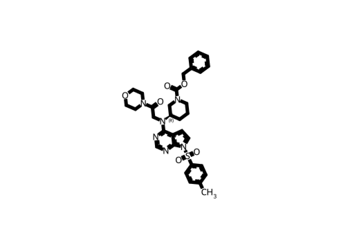 Cc1ccc(S(=O)(=O)n2ccc3c(N(CC(=O)N4CCOCC4)[C@@H]4CCCN(C(=O)OCc5ccccc5)C4)ncnc32)cc1